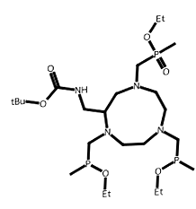 CCOP(C)CN1CCN(CP(C)(=O)OCC)CC(CNC(=O)OC(C)(C)C)N(CP(C)OCC)CC1